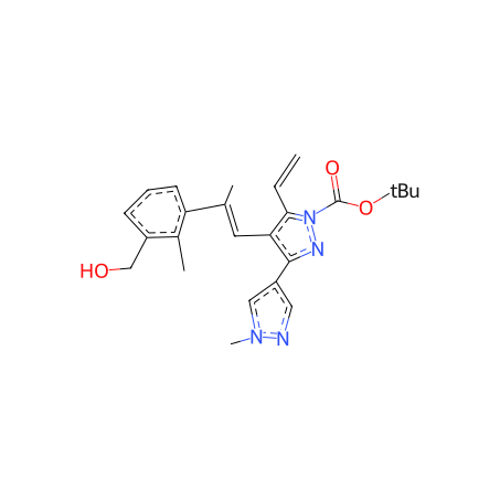 C=Cc1c(/C=C(\C)c2cccc(CO)c2C)c(-c2cnn(C)c2)nn1C(=O)OC(C)(C)C